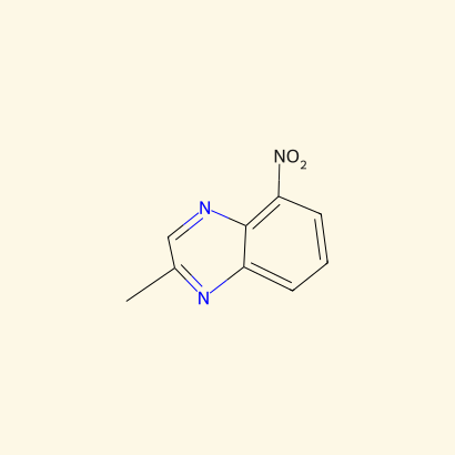 Cc1cnc2c([N+](=O)[O-])cccc2n1